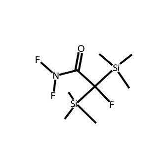 C[Si](C)(C)C(F)(C(=O)N(F)F)[Si](C)(C)C